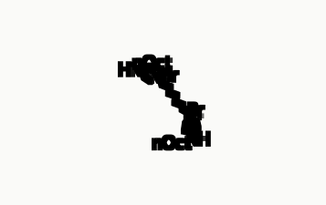 CCCCCCCCNc1cc[n+](C(Br)CCCCCCCC(Br)[n+]2ccc(NCCCCCCCC)cc2)cc1